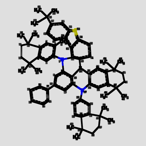 Cc1cc2c(cc1N1c3cc(-c4ccccc4)cc4c3B(c3cc5c(cc3N4c3ccc4c(c3)C(C)(C)CCC4(C)C)C(C)(C)CCC5(C)C)c3ccc4sc5cc(C(C)(C)C)ccc5c4c31)C(C)(C)CCC2(C)C